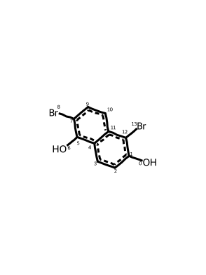 Oc1ccc2c(O)c(Br)ccc2c1Br